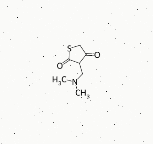 CN(C)CC1C(=O)CSC1=O